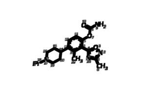 Cc1noc(-c2c(OC(N)=O)ccc(C3CCN(C(C)C)CC3)c2C)n1